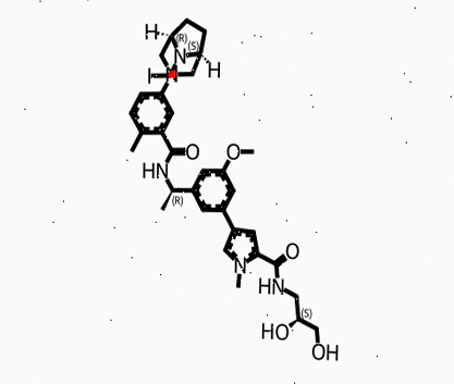 COc1cc(-c2cc(C(=O)NC[C@H](O)CO)n(C)c2)cc([C@@H](C)NC(=O)c2cc(N3C[C@H]4CC[C@@H](C3)N4CI)ccc2C)c1